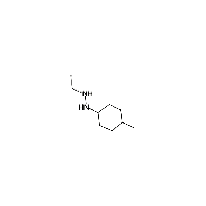 CCNNC1CCC(C)CC1